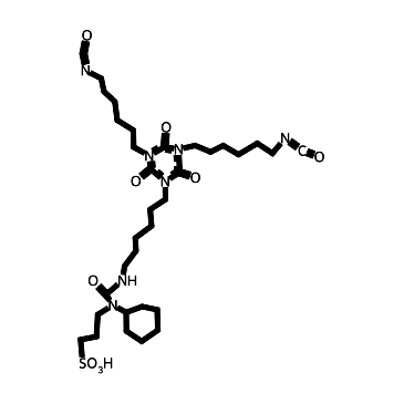 O=C=NCCCCCCn1c(=O)n(CCCCCCN=C=O)c(=O)n(CCCCCCNC(=O)N(CCCS(=O)(=O)O)C2CCCCC2)c1=O